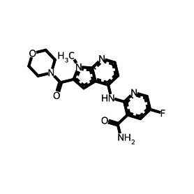 Cn1c(C(=O)N2CCOCC2)cc2c(Nc3ncc(F)cc3C(N)=O)ccnc21